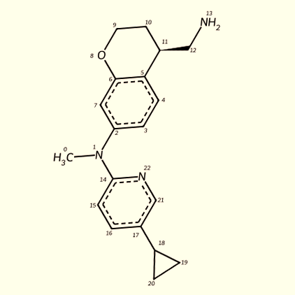 CN(c1ccc2c(c1)OCC[C@H]2CN)c1ccc(C2CC2)cn1